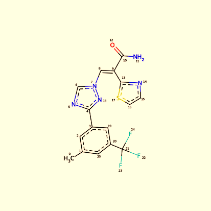 Cc1cc(-c2ncn(C=C(C(N)=O)c3nccs3)n2)cc(C(F)(F)F)c1